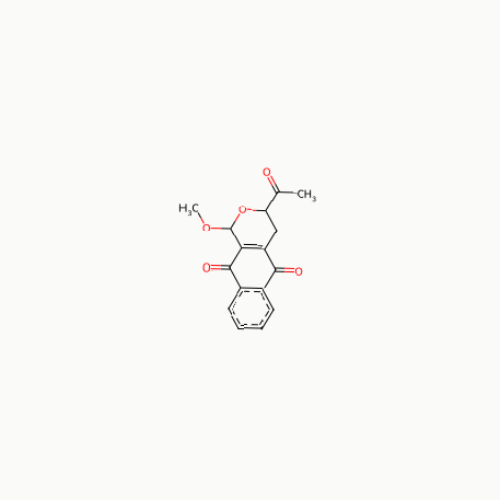 COC1OC(C(C)=O)CC2=C1C(=O)c1ccccc1C2=O